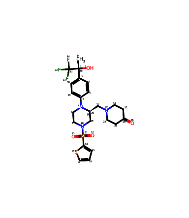 C[C@@](O)(c1ccc(N2CCN(S(=O)(=O)c3cccs3)C[C@@H]2CN2CCC(=O)CC2)cc1)C(F)(F)F